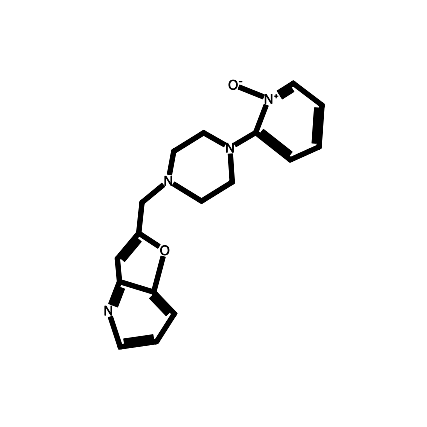 [O-][n+]1ccccc1N1CCN(Cc2cc3ncccc3o2)CC1